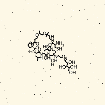 CC(C)C[C@H](NC(=O)[C@@H]1CCCN1C(=O)CCOC(C)COC(C)(C)CCNC(=O)[C@@H](N)CS)C(=O)N[C@@H](Cc1cnc[nH]1)C(=O)N[C@@H](CO)C(=O)NCCO/N=C/C(O)C(O)C(O)CO